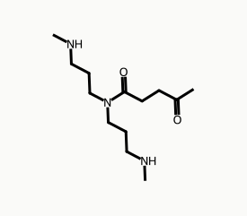 CNCCCN(CCCNC)C(=O)CCC(C)=O